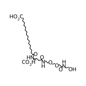 O=C(O)CCCCCCCCCCCCCCCCC(=O)N[C@@H](CCC(=O)NCCOCCOCC(=O)NCCO)C(=O)O